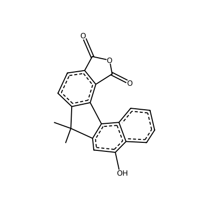 CC1(C)c2ccc3c(c2-c2c1cc(O)c1ccccc21)C(=O)OC3=O